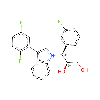 OC[C@@H](O)[C@H](c1cccc(F)c1)n1cc(-c2cc(F)ccc2F)c2ccccc21